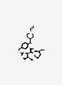 CCCN1CCC(C(O)c2ccc([C@H](C)Nc3ncc(C#N)c(-c4cnc5c(CC)cccn45)n3)cc2)CC1